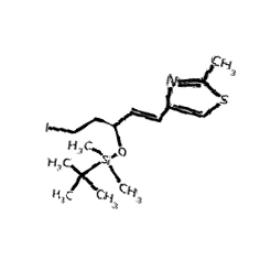 Cc1nc(/C=C/[C@H](CCI)O[Si](C)(C)C(C)(C)C)cs1